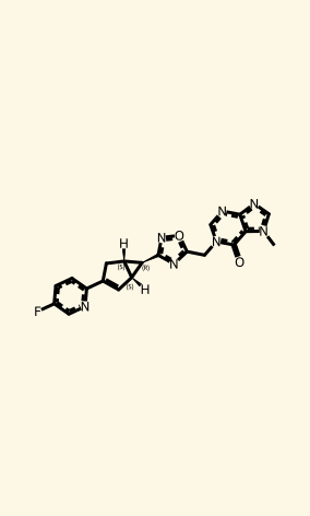 Cn1cnc2ncn(Cc3nc([C@H]4[C@@H]5C=C(c6ccc(F)cn6)C[C@@H]54)no3)c(=O)c21